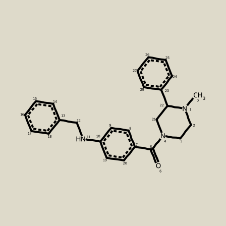 CN1CCN(C(=O)c2ccc(NCc3ccccc3)cc2)CC1c1ccccc1